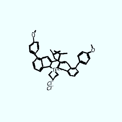 COc1ccc(-c2cccc3c2C=C(CC(C)C)[CH]3[Ti+2]2([CH]3C(CC(C)C)=Cc4c(-c5ccc(OC)cc5)cccc43)[CH2]C[CH2]2)cc1.[Cl-].[Cl-]